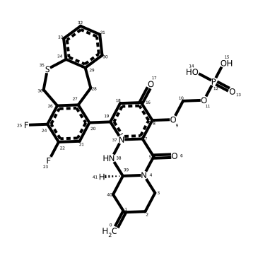 C=C1CCN2C(=O)c3c(OCOP(=O)(O)O)c(=O)cc(-c4cc(F)c(F)c5c4Cc4ccccc4SC5)n3N[C@@H]2C1